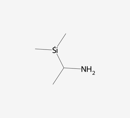 CC(N)[Si](C)C